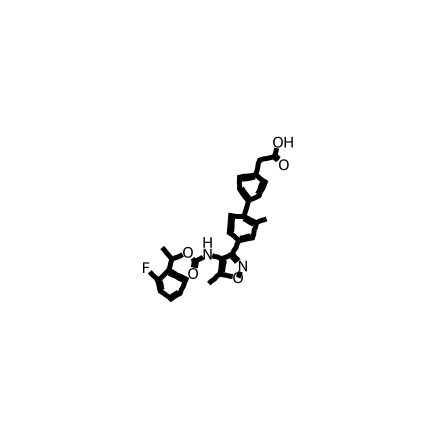 Cc1cc(-c2noc(C)c2NC(=O)OC(C)c2ccccc2F)ccc1-c1ccc(CC(=O)O)cc1